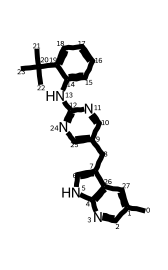 Cc1cnc2[nH]cc(Cc3cnc(Nc4ccccc4C(C)(C)C)nc3)c2c1